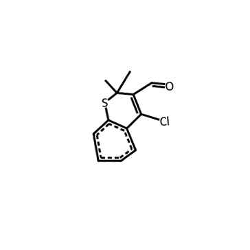 CC1(C)Sc2ccccc2C(Cl)=C1C=O